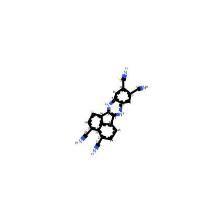 N#Cc1cc2nc3c(nc2cc1C#N)-c1ccc(C#N)c2c(C#N)ccc-3c12